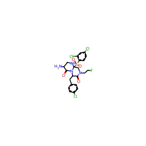 NC1CNC2(S(=O)(=O)c3ccc(Cl)cc3Cl)CN(CCF)C(=O)C(Cc3ccc(Cl)cc3)N2C1=O